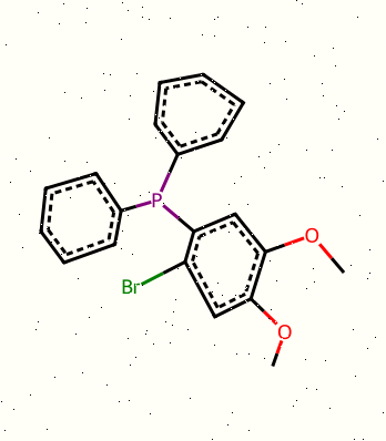 COc1cc(Br)c(P(c2ccccc2)c2ccccc2)cc1OC